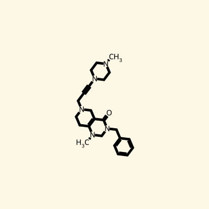 CN1CCN(C#CCN2CCC3=C(C2)C(=O)N(Cc2ccccc2)CN3C)CC1